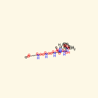 C[C@@H](C[C@H](Cc1ccc(O)c(NC(=O)CCCNC(=O)[C@H](CCCCNC(=O)CCOCCOCCNC(=O)CCOCCOCCNC(=O)CCCCCCCCCC(=O)OCc2ccccc2)NC(=O)OCc2ccccc2)c1)NC(=O)OC(C)(C)C)C(=O)OC(C)(C)C